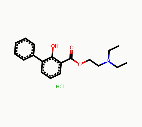 CCN(CC)CCOC(=O)c1cccc(-c2ccccc2)c1O.Cl